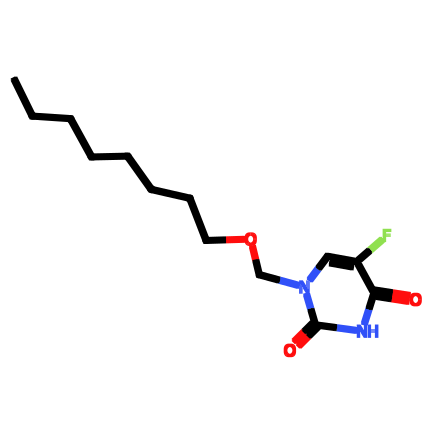 CCCCCCCCOCn1cc(F)c(=O)[nH]c1=O